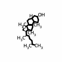 CC(C)CCC[C@@H](C)[C@H]1COC2(C)C3=C(CC[C@]12C)[C@@]1(C)CC[C@H](O)C[C@@H]1CC3